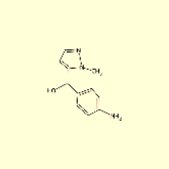 Cn1nccc1C(O)c1ccc(N)cc1